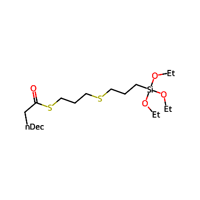 CCCCCCCCCCCC(=O)SCCCSCCC[Si](OCC)(OCC)OCC